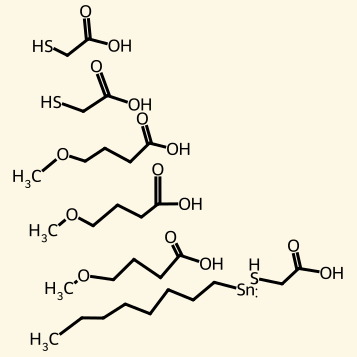 CCCCCCC[CH2][Sn].COCCCC(=O)O.COCCCC(=O)O.COCCCC(=O)O.O=C(O)CS.O=C(O)CS.O=C(O)CS